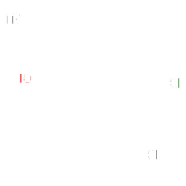 C#Cc1ccc(Cl)cc1.C#Cc1cccc(O)c1